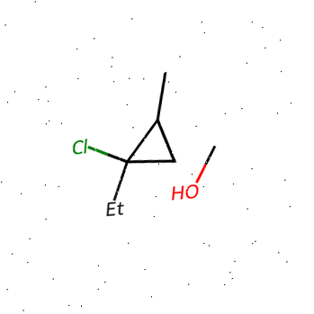 CCC1(Cl)CC1C.CO